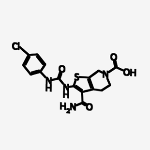 NC(=O)c1c(NC(=O)Nc2ccc(Cl)cc2)sc2c1CCN(C(=O)O)C2